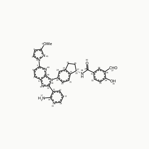 COc1ccn(-c2ccc3nc(-c4cccnc4N)n(-c4ccc5c(c4)CC[C@@H]5NC(=O)c4ccc(O)c(C=O)c4)c3n2)n1